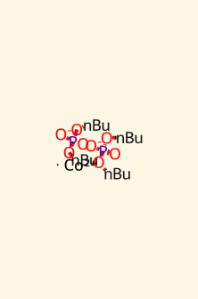 CCCCOP(=O)([O-])OCCCC.CCCCOP(=O)([O-])OCCCC.[Co+2]